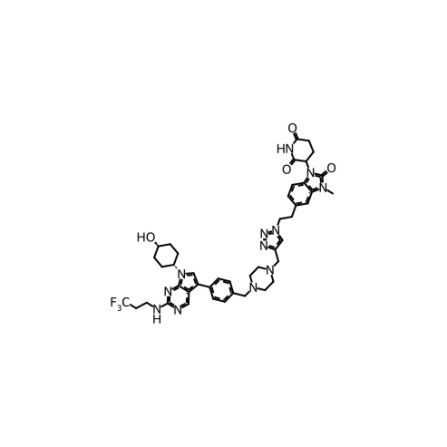 Cn1c(=O)n(C2CCC(=O)NC2=O)c2ccc(CCn3cc(CN4CCN(Cc5ccc(-c6cn([C@H]7CC[C@H](O)CC7)c7nc(NCCC(F)(F)F)ncc67)cc5)CC4)nn3)cc21